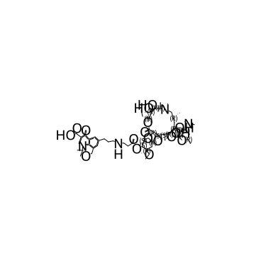 CC[C@H]1OC(=O)[C@H](C)[C@@H](O[C@H]2C[C@@](C)(OC)[C@@H](OC(=O)CCNCCCc3cc4c5c(c3)c(=O)c(C(=O)O)cn5C(C)(C)OC4)[C@H](C)O2)[C@H](C)[C@@H](O[C@@H]2O[C@H](C)C[C@H](N(C)C)[C@H]2O)[C@](C)(O)C[C@@H](C)CN(C)[C@H](C)[C@@H](O)[C@]1(C)O